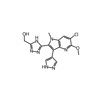 COc1nc2c(-c3cn[nH]c3)c(-c3nnc(CO)[nH]3)n(C)c2cc1Cl